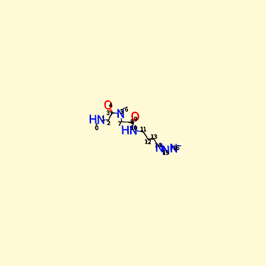 CNCC(=O)N(C)CC(=O)NCCCN=[N+]=[N-]